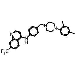 Cc1ccc(N2CCN(Cc3ccc(Nc4ccnc5cc(C(F)(F)F)ccc45)cc3)CC2)c(C)c1